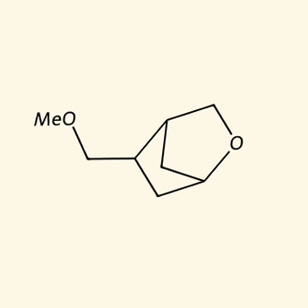 COCC1CC2CC1CO2